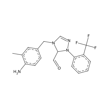 Cc1cc(CN2C=NN(c3ccccc3C(F)(F)F)C2C=O)ccc1N